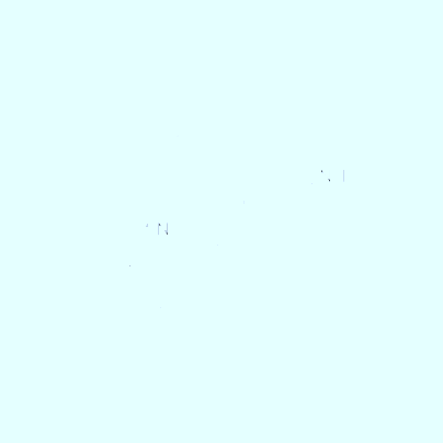 CC(C)(C)N1CCCC2(CCCNC2)C1